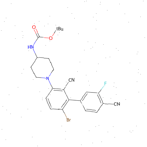 CC(C)(C)OC(=O)NC1CCN(c2ccc(Br)c(-c3ccc(C#N)c(F)c3)c2C#N)CC1